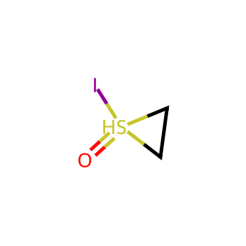 O=[SH]1(I)CC1